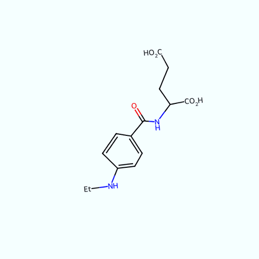 CCNc1ccc(C(=O)NC(CCC(=O)O)C(=O)O)cc1